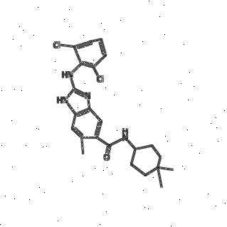 Cc1cc2[nH]c(Nc3c(Cl)cccc3Cl)nc2cc1C(=O)NC1CCC(C)(C)CC1